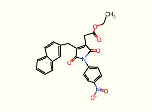 CCOC(=O)CC1=C(Cc2ccc3ccccc3c2)C(=O)N(c2ccc([N+](=O)[O-])cc2)C1=O